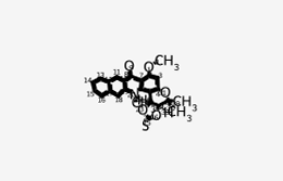 COc1cc2c(c3c1c(=O)c1cc4ccccc4cc1n3C)[C@@H]1OC(=S)O[C@@H]1C(C)(C)O2